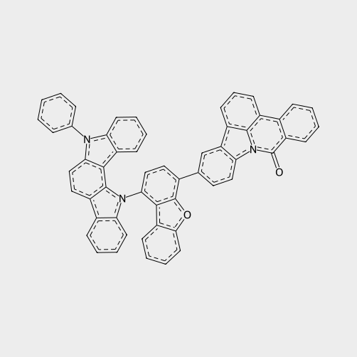 O=c1c2ccccc2c2cccc3c4cc(-c5ccc(-n6c7ccccc7c7ccc8c(c9ccccc9n8-c8ccccc8)c76)c6c5oc5ccccc56)ccc4n1c23